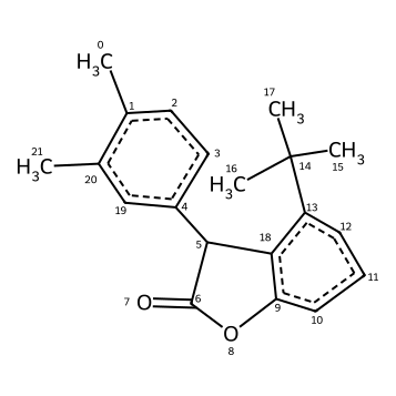 Cc1ccc(C2C(=O)Oc3cccc(C(C)(C)C)c32)cc1C